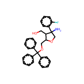 NC1(c2ccccc2F)COC(COC(c2ccccc2)(c2ccccc2)c2ccccc2)C1CO